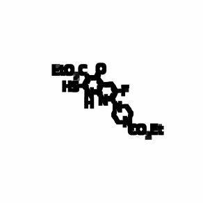 CCOC(=O)c1c(S)[nH]c2nc(N3CCN(C(=O)OCC)CC3)c(F)cc2c1=O